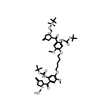 C=C1CC(C(=O)c2cc(OC)c(OCCCCCOc3cc(NC(=O)OC(C)(C)C)c(C(=O)C4CC(=C)C[C@H]4CO[Si](C)(C)C(C)(C)C)cc3OC)cc2NC(=O)OC(C)(C)C)[C@H](CO)C1